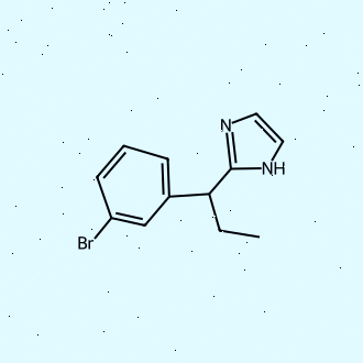 CCC(c1cccc(Br)c1)c1ncc[nH]1